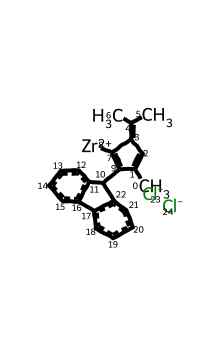 CC1=CC(=C(C)C)[C]([Zr+2])=C1C1c2ccccc2-c2ccccc21.[Cl-].[Cl-]